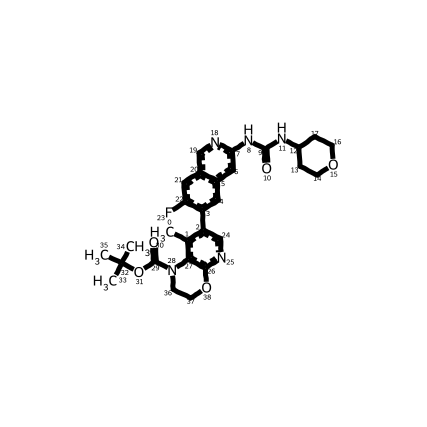 Cc1c(-c2cc3cc(NC(=O)NC4CCOCC4)ncc3cc2F)cnc2c1N(C(=O)OC(C)(C)C)CCO2